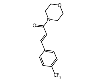 O=C(/C=C/c1ccc(C(F)(F)F)cc1)N1CCOCC1